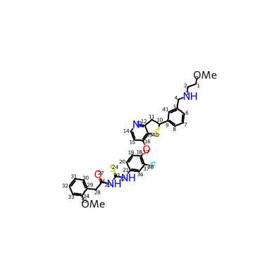 COCCNCc1cccc(C2Cc3nccc(Oc4ccc(NC(=S)NC(=O)Cc5ccccc5OC)cc4F)c3S2)c1